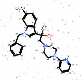 O=[N+]([O-])c1ccc2c(C(O)(CN3CCN(c4ccccn4)CC3)C(F)(F)F)cn(Cc3ccccc3)c2c1